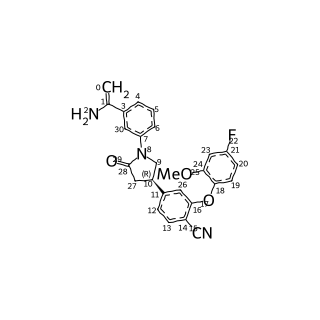 C=C(N)c1cccc(N2C[C@@H](c3ccc(C#N)c(Oc4ccc(F)cc4OC)c3)CC2=O)c1